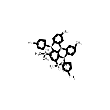 Cc1ccc(N2c3ccc(C)cc3B3c4cc(C(C)(C)C)ccc4N(c4ccc(C(C)(C)C)cc4)c4c([Si](C)(C)C)cc([Si](C)(C)C)c2c43)cc1